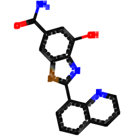 NC(=O)c1cc(O)c2nc(-c3cccc4cccnc34)sc2c1